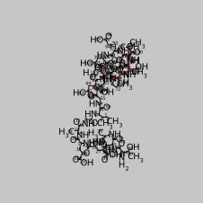 CC[C@H](C)[C@H](NC(=O)CNC(=O)[C@H](C)NC(=O)[C@H](CCC(=O)O)NC(=O)[C@H](CCC(=O)O)NC(=O)[C@H](C)NC(=O)[C@@H](NC(=O)[C@@H](N)[C@@H](C)O)[C@@H](C)O)C(=O)NCC(=O)N[C@@H](CC(=O)O)C(=O)N[C@H](C(=O)N1CCC[C@H]1C(=O)N[C@@H](CO)C(=O)N[C@@H](CC(C)C)C(=O)N[C@@H](CCC(=O)O)C(=O)N[C@@H](CC(=O)O)C(=O)N[C@@H](CCC(=O)O)C(=O)N[C@@H](C)C(=O)N[C@@H](C)C(=O)NCC(=O)O)[C@@H](C)O